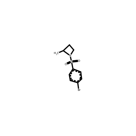 CC1CCN1S(=O)(=O)c1ccc(Br)cc1